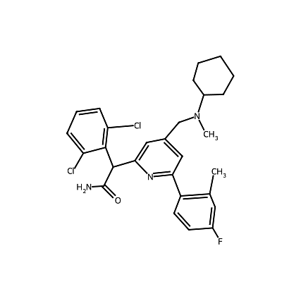 Cc1cc(F)ccc1-c1cc(CN(C)C2CCCCC2)cc(C(C(N)=O)c2c(Cl)cccc2Cl)n1